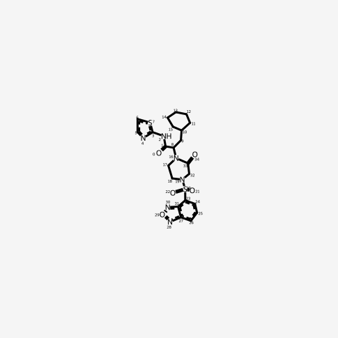 O=C(Nc1nccs1)C(CC1CCCCC1)N1CCN(S(=O)(=O)c2cccc3nonc23)CC1=O